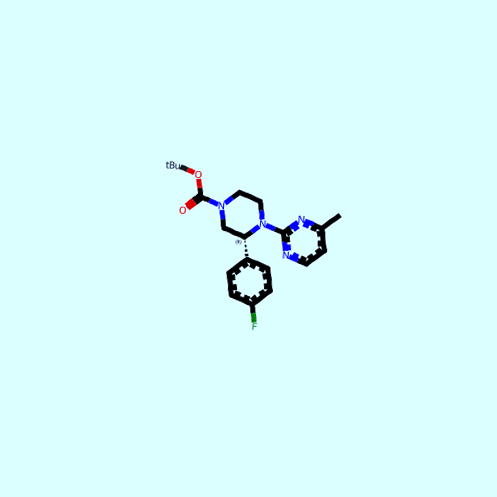 Cc1ccnc(N2CCN(C(=O)OC(C)(C)C)C[C@H]2c2ccc(F)cc2)n1